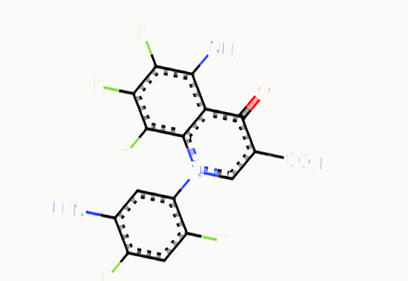 Nc1cc(-n2cc(C(=O)O)c(=O)c3c(N)c(F)c(F)c(F)c32)c(F)cc1F